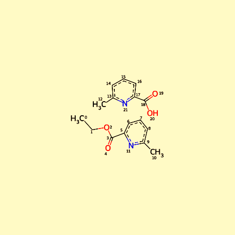 CCOC(=O)c1cccc(C)n1.Cc1cccc(C(=O)O)n1